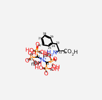 CCC[N+](CCC)(C(P(=O)(O)O)P(=O)(O)O)C(P(=O)(O)O)P(=O)(O)O.N[C@@H](Cc1ccccc1)C(=O)O